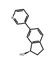 O[C@@H]1CCc2ccc(-c3cccnc3)cc21